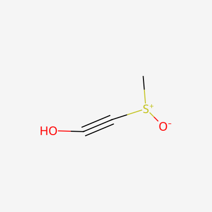 C[S+]([O-])C#CO